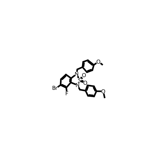 COc1ccc(CN2c3ccc(Br)c(F)c3N(Cc3ccc(OC)cc3)S2(=O)=O)cc1